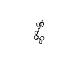 COC(=O)c1cccc(OCCCC(=O)OC(C)(C)C)c1